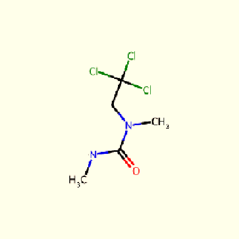 C[N]C(=O)N(C)CC(Cl)(Cl)Cl